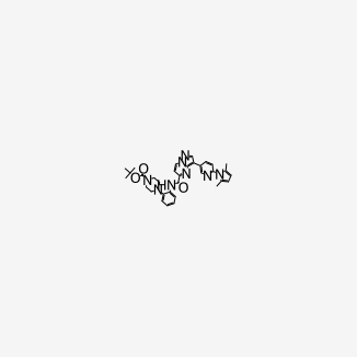 Cc1ccc(C)n1-c1ccc(-c2cnn3ccc(C(=O)Nc4ccccc4N4CCN(C(=O)OC(C)(C)C)CC4)nc23)cn1